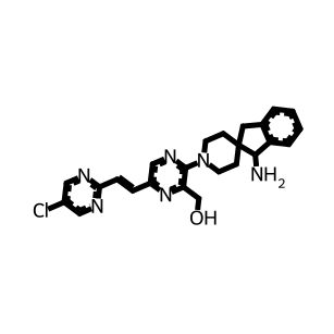 NC1c2ccccc2CC12CCN(c1ncc(C=Cc3ncc(Cl)cn3)nc1CO)CC2